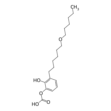 CCCCCCOCCCCCCc1cccc(OC(=O)O)c1O